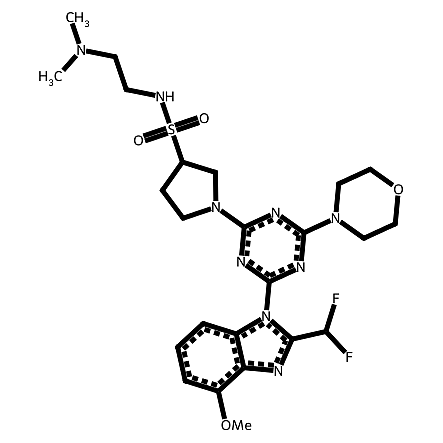 COc1cccc2c1nc(C(F)F)n2-c1nc(N2CCOCC2)nc(N2CCC(S(=O)(=O)NCCN(C)C)C2)n1